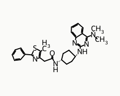 Cc1sc(-c2ccccc2)nc1CC(=O)N[C@H]1CC[C@@H](Nc2nc(N(C)C)c3ccccc3n2)CC1